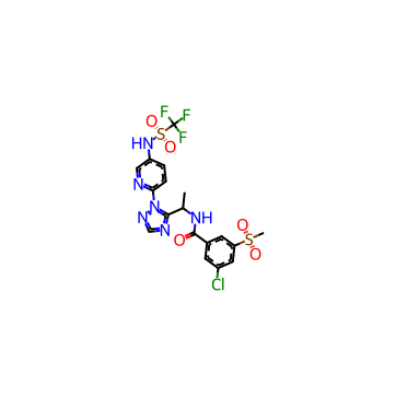 CC(NC(=O)c1cc(Cl)cc(S(C)(=O)=O)c1)c1ncnn1-c1ccc(NS(=O)(=O)C(F)(F)F)cn1